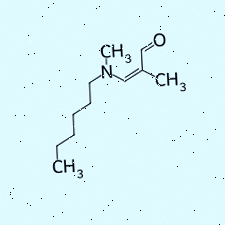 CCCCCCN(C)C=C(C)C=O